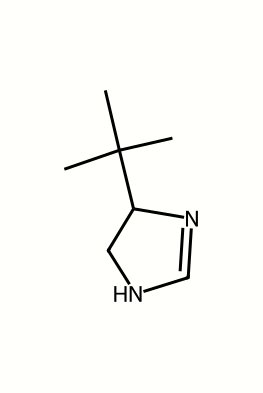 CC(C)(C)C1CNC=N1